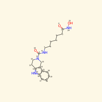 O=C(CCCCCCNC(=O)N1CCc2[nH]c3ccccc3c2C1)NO